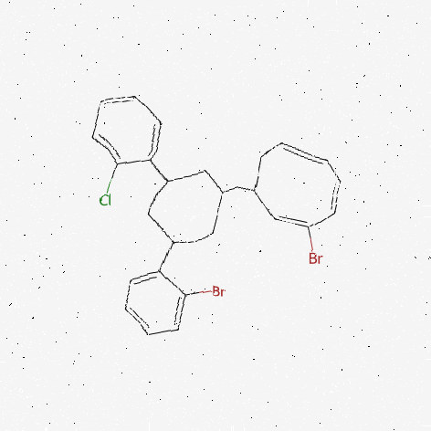 Clc1ccccc1C1CC(c2ccccc2Br)CC(C2C=C(Br)/C=C\C=C/C2)C1